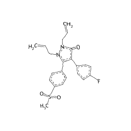 C=CCn1c(-c2ccc(S(C)(=O)=O)cc2)c(-c2ccc(F)cc2)c(=O)n1CC=C